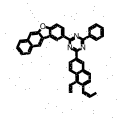 C=Cc1c(/C=C\C)ccc2cc(-c3nc(-c4ccccc4)nc(-c4ccc5oc6cc7ccccc7cc6c5c4)n3)ccc12